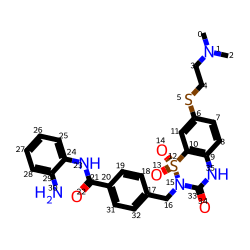 CN(C)CCSc1ccc2c(c1)S(=O)(=O)N(Cc1ccc(C(=O)Nc3ccccc3N)cc1)C(=O)N2